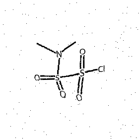 CN(C)S(=O)(=O)S(=O)(=O)Cl